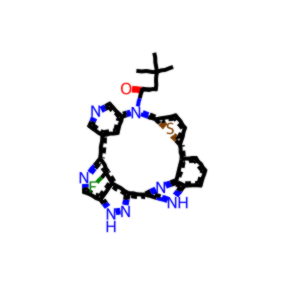 CC(C)(C)CC(=O)n1c2cncc(c2)c2ncc3[nH]nc(c4nc5c(cccc5c5ccc1s5)[nH]4)c3c2F